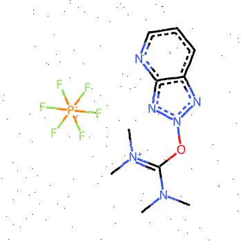 CN(C)C(On1nc2cccnc2n1)=[N+](C)C.F[P-](F)(F)(F)(F)F